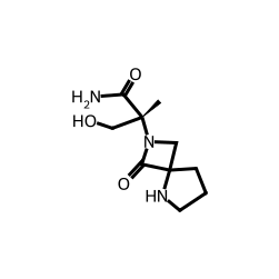 C[C@@](CO)(C(N)=O)N1CC2(CCCN2)C1=O